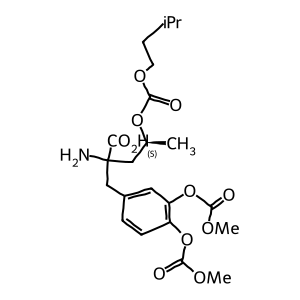 COC(=O)Oc1ccc(CC(N)(C[C@H](C)OC(=O)OCCC(C)C)C(=O)O)cc1OC(=O)OC